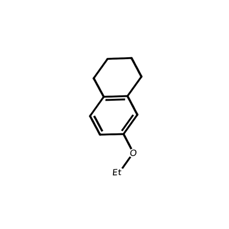 CCOc1ccc2c(c1)CCCC2